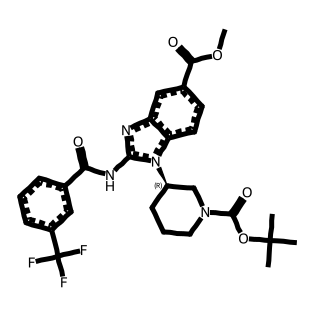 COC(=O)c1ccc2c(c1)nc(NC(=O)c1cccc(C(F)(F)F)c1)n2[C@@H]1CCCN(C(=O)OC(C)(C)C)C1